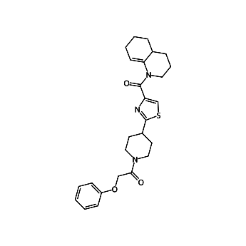 O=C(COc1ccccc1)N1CCC(c2nc(C(=O)N3CCCC4CCCC=C43)cs2)CC1